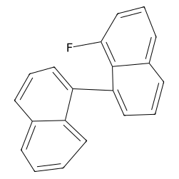 Fc1cccc2cccc(-c3cccc4ccccc34)c12